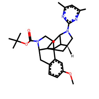 COc1ccc2c(c1)C13CCN(C(=O)OC(C)(C)C)C(C2)C12CCC1C3[C@H](CN1c1nc(C)cc(C)n1)C2